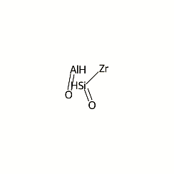 O=[SiH][Zr].[O]=[AlH]